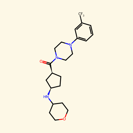 O=C([C@H]1CC[C@@H](NC2CCOCC2)C1)N1CCN(c2cccc(C(F)(F)F)c2)CC1